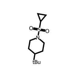 CC(C)(C)C1CCN(S(=O)(=O)C2CC2)CC1